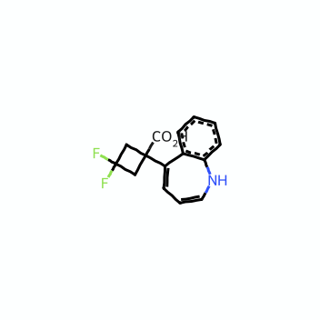 O=C(O)C1(C2=CC=CNc3ccccc32)CC(F)(F)C1